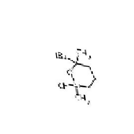 CC(C)(C)C1(C)CCC[Si](C)(Cl)O1